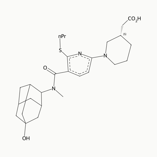 CCCSc1nc(N2CCC[C@@H](CC(=O)O)C2)ccc1C(=O)N(C)C1C2CC3CC1CC(O)(C3)C2